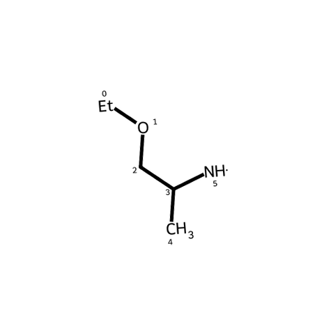 CCOCC(C)[NH]